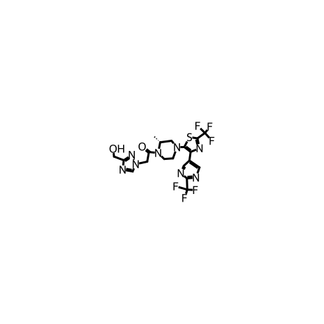 C[C@@H]1CN(c2sc(C(F)(F)F)nc2-c2cnc(C(F)(F)F)nc2)CCN1C(=O)Cn1cnc(CO)n1